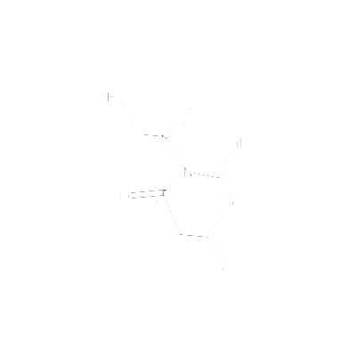 CCCCC1CC(C)CC(=O)N1C(=O)OC(C)(C)C